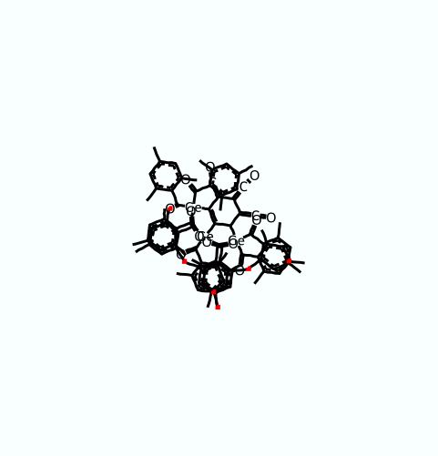 Cc1cc(C)c([C](=O)[Ge]([C](=O)c2c(C)cc(C)cc2C)([C](=O)c2c(C)cc(C)cc2C)[C]2=[C]([Ge]([C](=O)c3c(C)cc(C)cc3C)([C](=O)c3c(C)cc(C)cc3C)[C](=O)c3c(C)cc(C)cc3C)[CH]([Ge]([C](=O)c3c(C)cc(C)cc3C)([C](=O)c3c(C)cc(C)cc3C)[C](=O)c3c(C)cc(C)cc3C)C(=C=O)C(=C=O)C2=C=O)c(C)c1